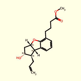 C=CC[C@@H]1[C@H]2c3cccc(CCCC(=O)OC)c3O[C@H]2C[C@H]1O